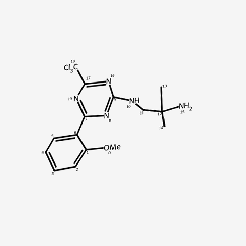 COc1ccccc1-c1nc(NCC(C)(C)N)nc(C(Cl)(Cl)Cl)n1